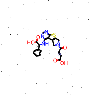 O=C(O)/C=C/C(=O)N1Cc2sc3ncnc(N[C@H](C(=O)O)c4ccccc4)c3c2C1